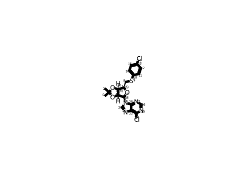 CC1(C)O[C@@H]2[C@@H](O1)[C@@H](CSc1ccc(Cl)cc1)O[C@H]2n1cnc2c(Cl)ncnc21